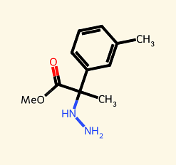 COC(=O)C(C)(NN)c1cccc(C)c1